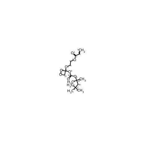 C=CC(=O)OCCOC1(OC(=O)OC(C)(C)CC(C)(C)C)COO1